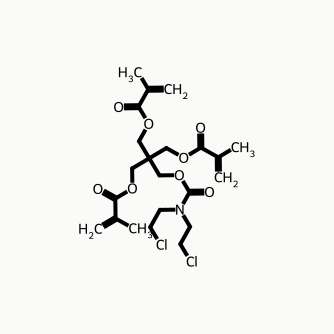 C=C(C)C(=O)OCC(COC(=O)C(=C)C)(COC(=O)C(=C)C)COC(=O)N(CCCl)CCCl